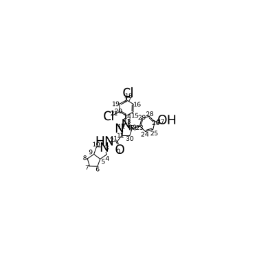 O=C(NN1CC2CCCC2C1)C1=NN(c2ccc(Cl)cc2Cl)[C@@H](c2ccc(O)cc2)C1